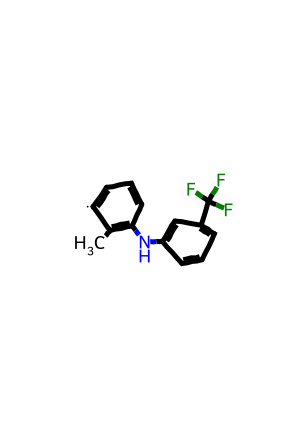 Cc1[c]cccc1Nc1cccc(C(F)(F)F)c1